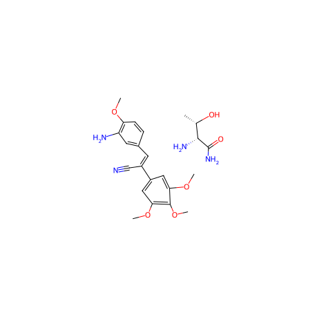 COc1ccc(C=C(C#N)c2cc(OC)c(OC)c(OC)c2)cc1N.C[C@H](O)[C@@H](N)C(N)=O